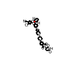 N#Cc1ccc(OC2C[C@H]3CC[C@@H](C2)N3C(=O)c2ccc(N3CC4(CCN(C5CCN(c6ccc7c(c6)C(=O)N(C6CCC(=O)NC6=O)C7=O)CC5)CC4)C3)cc2)cc1Cl